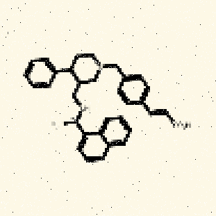 C[C@@H](NCC1CN(Cc2ccc(/C=C/C(=O)O)cc2)CCC1c1ccccc1)c1cccc2ccccc12